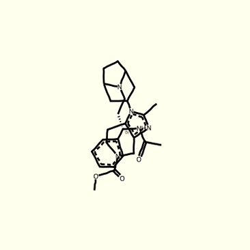 COC(=O)N1CCc2c(nc(C)n2C2CC3CCC(C2)N3CC[C@H](NC(C)=O)c2ccccc2)C1